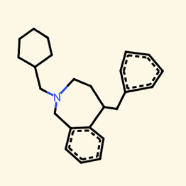 c1ccc(CC2CCN(CC3CCCCC3)Cc3ccccc32)cc1